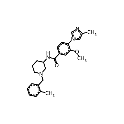 COc1cc(C(=O)NC2CCCN(Cc3ccccc3C)C2)ccc1-n1cnc(C)c1